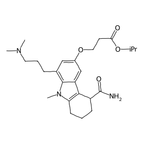 CC(C)OC(=O)CCOc1cc(CCCN(C)C)c2c(c1)c1c(n2C)CCCC1C(N)=O